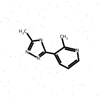 CC1=NN=C(c2cccnc2C)[N]1